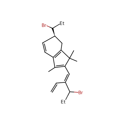 C=C/C(=C\C1=C(C)C2=C(C[C@H](C(Br)CC)C=C2)C1(C)C)C(Br)CC